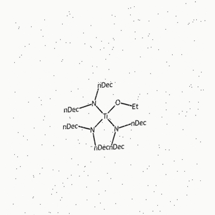 CCCCCCCCCC[N](CCCCCCCCCC)[Ti]([O]CC)([N](CCCCCCCCCC)CCCCCCCCCC)[N](CCCCCCCCCC)CCCCCCCCCC